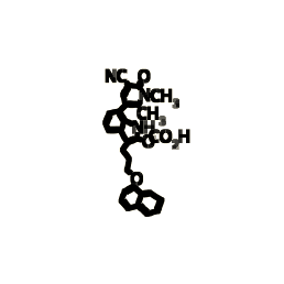 Cc1c(-c2cccc3c(CCCOc4cccc5ccccc45)c(OC(=O)O)[nH]c23)cc(C#N)c(=O)n1C